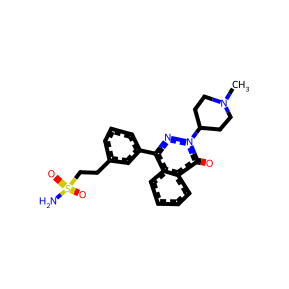 CN1CCC(n2nc(-c3cccc(CCS(N)(=O)=O)c3)c3ccccc3c2=O)CC1